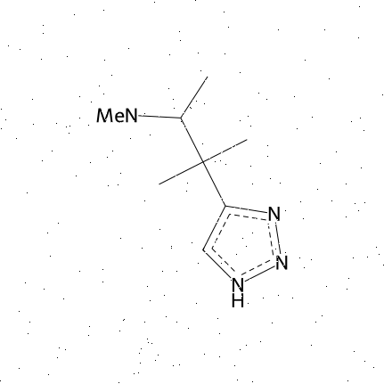 CNC(C)C(C)(C)c1c[nH]nn1